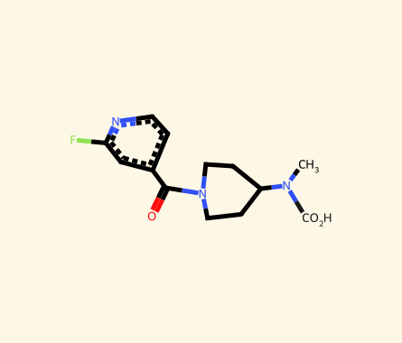 CN(C(=O)O)C1CCN(C(=O)c2ccnc(F)c2)CC1